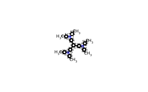 CC1=CCC(N(c2ccc(C)cc2)c2ccc(-c3cc(-c4ccc(N(c5ccc(C)cc5)c5ccc(C)cc5)cc4)cc(-c4ccc(N(c5ccc(C)cc5)c5ccc(C)cc5)cc4)c3)cc2)C=C1